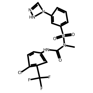 CN(C(=O)Nc1ccc(Cl)c(C(F)(F)F)c1)S(=O)(=O)c1cccc(-n2cn[nH]2)c1